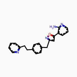 Nc1ncccc1-c1cc(Cc2ccc(CCc3ccccn3)cc2)no1